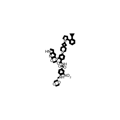 O=C(NS(=O)(=O)c1ccc(NC[C@H]2COCCO2)c([N+](=O)[O-])c1)c1ccc(N2CCC3(CC2)CC(N2CCCC2c2ccccc2C2CC2)C3)cc1N1CCOc2nc3[nH]ccc3cc21